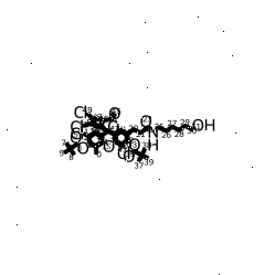 Cc1c(OC(=O)C(C)(C)C)c(Cl)cc2c1Oc1c(cc(CCC(=O)NCCCCCCO)c(OC(=O)C(C)(C)C)c1Cl)C21OC(=O)c2cc(Cl)c(Cl)cc21